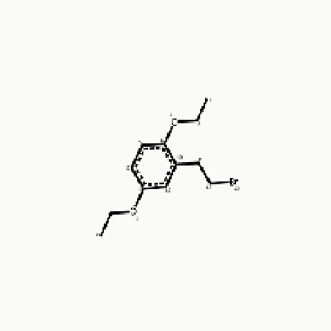 CCOc1ccc(OCC)c(CCBr)c1